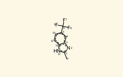 Cc1nc2cc(C(F)(F)F)ccc2[nH]1